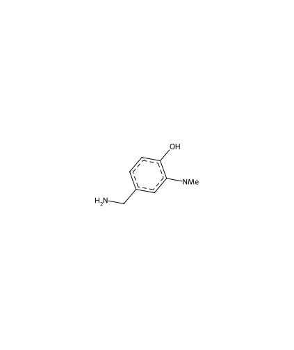 CNc1cc(CN)ccc1O